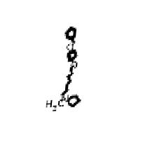 CN(CCCCCCCOc1ccc(OCc2ccccc2)cc1)C1CCCCC1